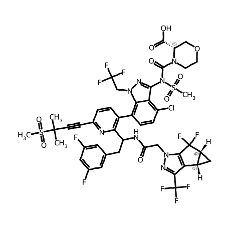 CC(C)(C#Cc1ccc(-c2ccc(Cl)c3c(N(C(=O)N4CCOC[C@H]4C(=O)O)S(C)(=O)=O)nn(CC(F)(F)F)c23)c(C(Cc2cc(F)cc(F)c2)NC(=O)Cn2nc(C(F)(F)F)c3c2C(F)(F)[C@@H]2C[C@H]32)n1)S(C)(=O)=O